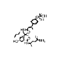 CCCC[C@H](NC(=O)/C=C(\C)c1ccc(OP(=O)(O)O)cc1)C(=O)N1C[C@@H](O)C[C@H]1C(=O)N[C@H](C)CCC(N)=O